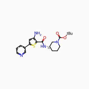 CC(C)(C)OC(=O)N1CCC[C@H](NC(=O)c2sc(-c3cccnc3)cc2N)C1